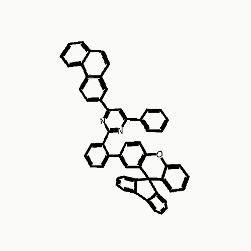 c1ccc(-c2cc(-c3ccc4c(ccc5ccccc54)c3)nc(-c3ccccc3-c3ccc4c(c3)C3(c5ccccc5O4)c4ccccc4-c4ccccc43)n2)cc1